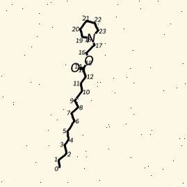 CCCCCCCCCCCCCC(=O)OCCN1CCCCC1